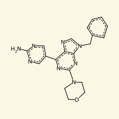 Nc1ncc(-c2nc(N3CCOCC3)nc3c2ncn3Cc2ccccc2)cn1